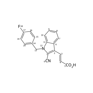 N#Cc1c(C=CC(=O)O)c2ccccc2n1Cc1ccc(F)cc1